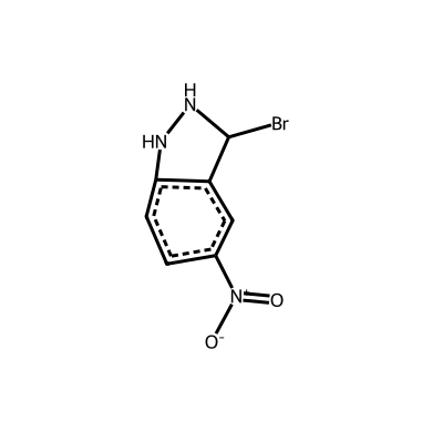 O=[N+]([O-])c1ccc2c(c1)C(Br)NN2